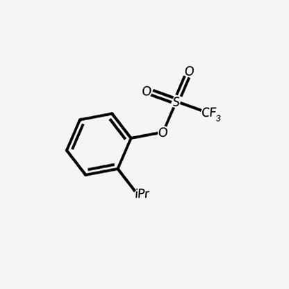 CC(C)c1ccccc1OS(=O)(=O)C(F)(F)F